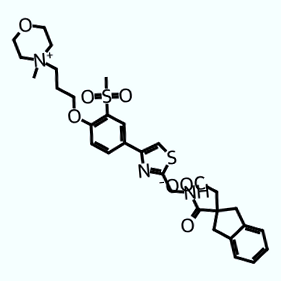 C[N+]1(CCCOc2ccc(-c3csc(CNC(=O)C4(CC(=O)[O-])Cc5ccccc5C4)n3)cc2S(C)(=O)=O)CCOCC1